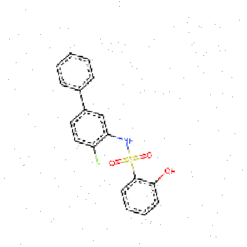 O=S(=O)(Nc1cc(-c2ccccc2)ccc1F)c1ccccc1O